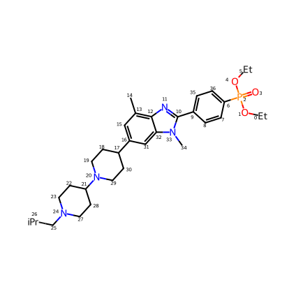 CCOP(=O)(OCC)c1ccc(-c2nc3c(C)cc(C4CCN(C5CCN(CC(C)C)CC5)CC4)cc3n2C)cc1